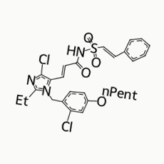 CCCCCOc1ccc(Cn2c(CC)nc(Cl)c2/C=C/C(=O)NS(=O)(=O)C=Cc2ccccc2)c(Cl)c1